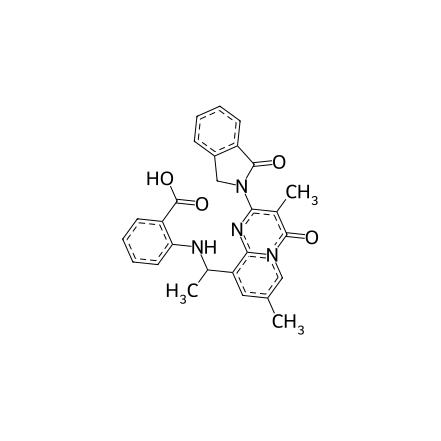 Cc1cc(C(C)Nc2ccccc2C(=O)O)c2nc(N3Cc4ccccc4C3=O)c(C)c(=O)n2c1